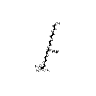 CC(C)(O)COCCOCCOCCOCCOCCO.I.I.[Te]